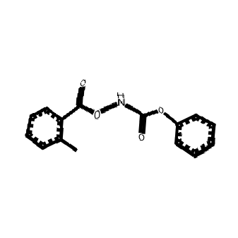 Cc1ccccc1C(=O)ONC(=O)Oc1ccccc1